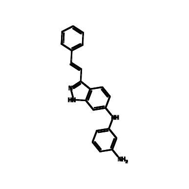 Nc1cccc(Nc2ccc3c(C=Cc4ccccc4)n[nH]c3c2)c1